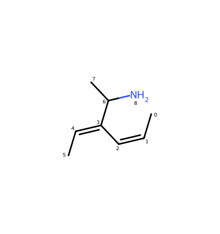 C/C=C\C(=C/C)C(C)N